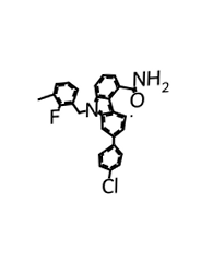 Cc1cccc(Cn2c3cc(-c4ccc(Cl)cc4)c[c]c3c3c(C(N)=O)cccc32)c1F